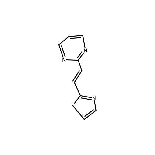 C(=C\c1nccs1)/c1ncccn1